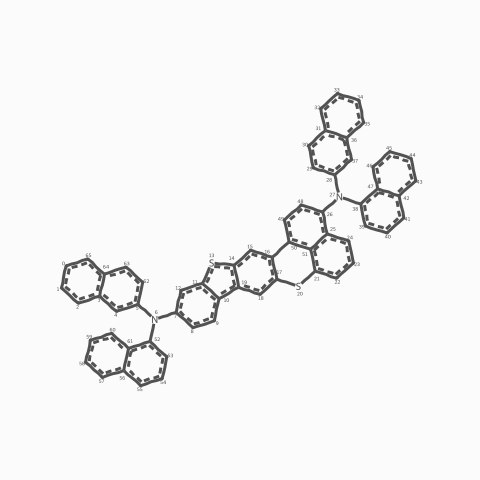 c1ccc2cc(N(c3ccc4c(c3)sc3cc5c(cc34)Sc3cccc4c(N(c6ccc7ccccc7c6)c6cccc7ccccc67)ccc-5c34)c3cccc4ccccc34)ccc2c1